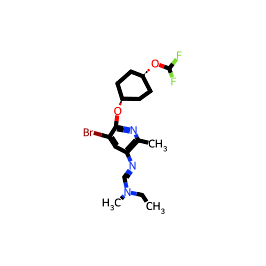 CCN(C)C=Nc1cc(Br)c(O[C@H]2CC[C@@H](OC(F)F)CC2)nc1C